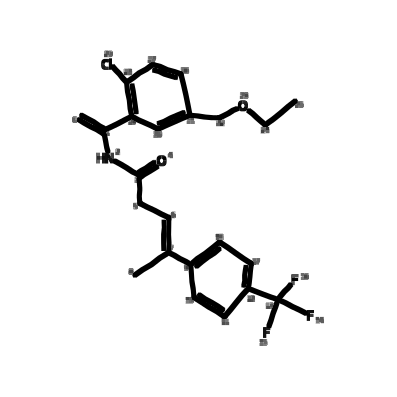 C=C(NC(=O)C/C=C(\C)c1ccc(C(F)(F)F)cc1)c1cc(COCC)ccc1Cl